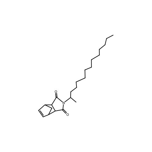 CCCCCCCCCCCCC(C)N1C(=O)C2C3C=CC(C3)C2C1=O